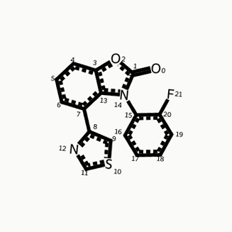 O=c1oc2cccc(-c3cscn3)c2n1-c1ccccc1F